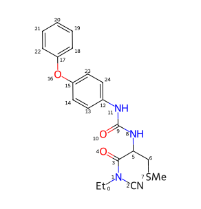 CCN(C#N)C(=O)C(CSC)NC(=O)Nc1ccc(Oc2ccccc2)cc1